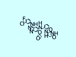 O=C1CCC(Nc2ccccc2CNc2cc3c(Nc4ccc(F)c(Cl)c4)ncnc3cc2O[C@H]2CCOC2)C(=O)N1